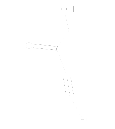 CCC#CC(=O)CO